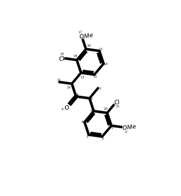 COc1cccc(C(C)C(=O)C(C)c2cccc(OC)c2Cl)c1Cl